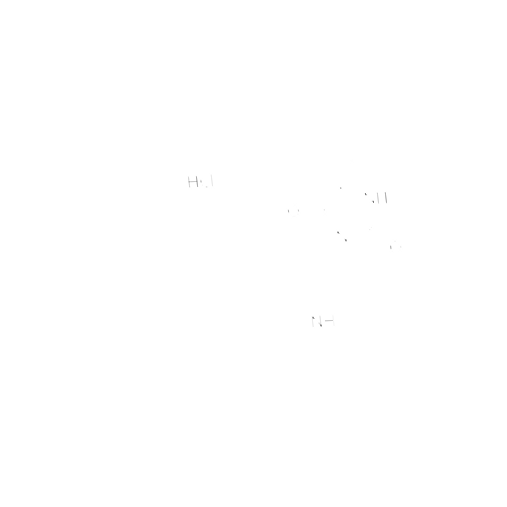 Cl.O=C1NC(c2ccccc2)(c2ccccc2)C(=O)N1CCC1CC(c2ccccc2)=CCN1